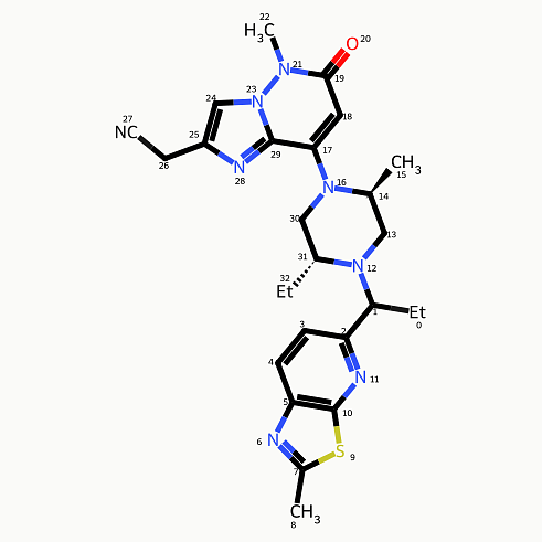 CCC(c1ccc2nc(C)sc2n1)N1C[C@H](C)N(c2cc(=O)n(C)n3cc(CC#N)nc23)C[C@H]1CC